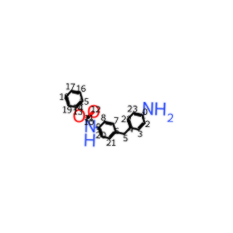 Nc1ccc(Cc2ccc(NC(=O)Oc3ccccc3)cc2)cc1